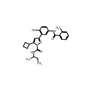 CCC(C)NC(=O)n1nc(-c2cc(NC(=O)c3ccccc3C)ccc2O)cc1C1CCC1